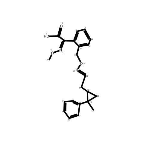 CON=C(C(=O)O)c1ccccc1CON=CCC1CC1(C)c1ccccc1